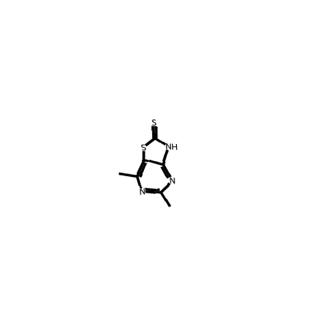 Cc1nc(C)c2sc(=S)[nH]c2n1